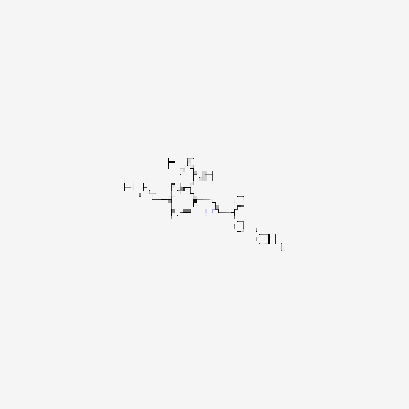 CCOC(=O)/C=C/c1cnc(SC)nc1NC